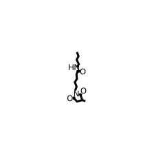 CCCCNC(=O)CCCCCN1C(=O)CC(C)C1=O